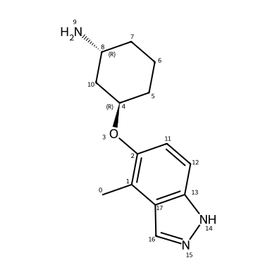 Cc1c(O[C@@H]2CCC[C@@H](N)C2)ccc2[nH]ncc12